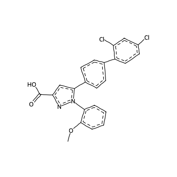 COc1ccccc1-n1nc(C(=O)O)cc1-c1ccc(-c2ccc(Cl)cc2Cl)cc1